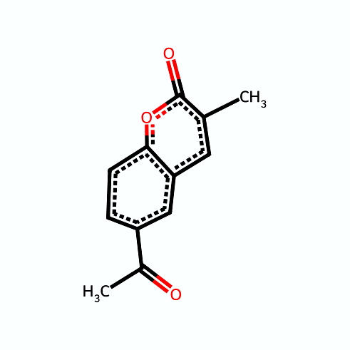 CC(=O)c1ccc2oc(=O)c(C)cc2c1